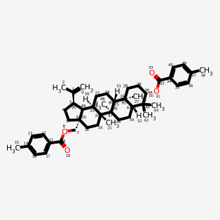 C=C(C)[C@@H]1CC[C@]2(COC(=O)c3ccc(C)cc3)CC[C@]3(C)[C@H](CC[C@@H]4[C@@]5(C)CC[C@H](OC(=O)c6ccc(C)cc6)C(C)(C)[C@@H]5CC[C@]43C)C12